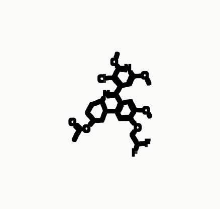 COc1cc(C2=NC3CCC(OC(C)=O)CC3c3cc(OCC(F)F)c(OC)cc32)c(Cl)c(OC)n1